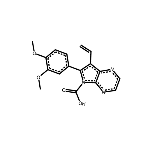 C=Cc1c(-c2ccc(OC)c(OC)c2)n(C(=O)O)c2nccnc12